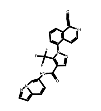 O=C=C1NC=Cc2c1cccc2-n1ncc(C(=O)Nc2ccc3ccnn3c2)c1C(F)(F)F